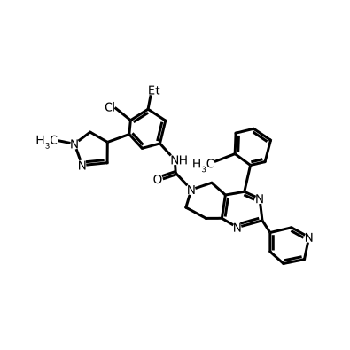 CCc1cc(NC(=O)N2CCc3nc(-c4cccnc4)nc(-c4ccccc4C)c3C2)cc(C2C=NN(C)C2)c1Cl